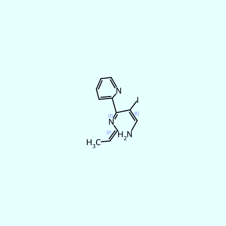 C\C=C/N=C(\C(I)=C/N)c1ccccn1